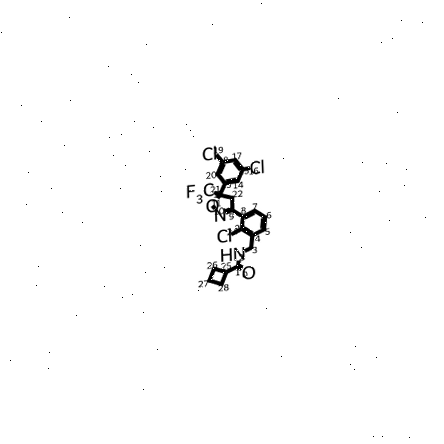 O=C(NCc1cccc(C2=NOC(c3cc(Cl)cc(Cl)c3)(C(F)(F)F)C2)c1Cl)C1CCC1